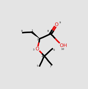 CC[C@H](OC(C)(C)C)C(=O)O